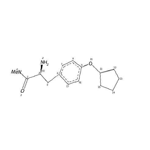 CNC(=O)[C@@H](N)Cc1ccc(OC2CCCC2)cc1